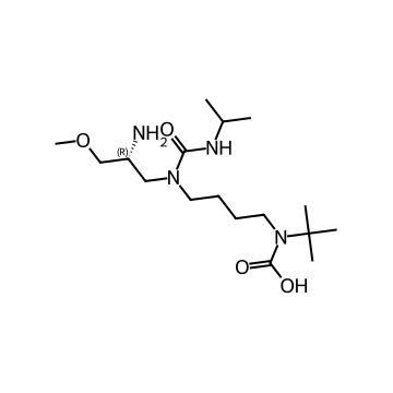 COC[C@H](N)CN(CCCCN(C(=O)O)C(C)(C)C)C(=O)NC(C)C